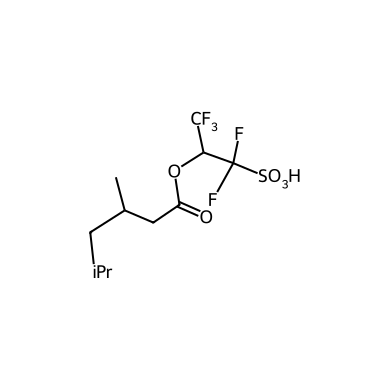 CC(C)CC(C)CC(=O)OC(C(F)(F)F)C(F)(F)S(=O)(=O)O